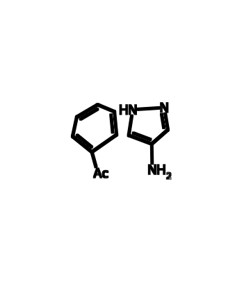 CC(=O)c1ccccc1.Nc1cn[nH]c1